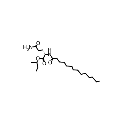 CCCCCCCCCCCCCC(=O)N[C@@H](CCC(N)=O)C(=O)OC(C)CC